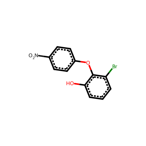 O=[N+]([O-])c1ccc(Oc2c(O)cccc2Br)cc1